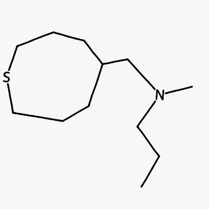 CCCN(C)CC1CCCSCCC1